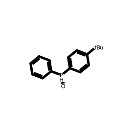 CC(C)(C)c1ccc([PH](=O)c2ccccc2)cc1